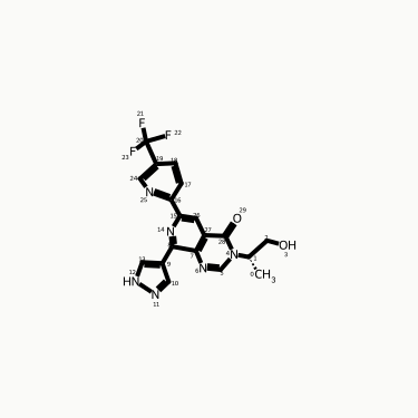 C[C@@H](CO)n1cnc2c(-c3cn[nH]c3)nc(-c3ccc(C(F)(F)F)cn3)cc2c1=O